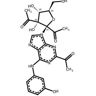 CC(=O)c1nc(Nc2cccc(O)c2)c2ncn([C@]3(C(C)=O)O[C@H](CO)[C@@H](O)[C@]3(O)C(C)=O)c2n1